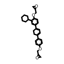 C1=C(c2ccc(OCC3CO3)cc2)CCC(c2ccc(OCC3CO3)c(C3CCCCC3)c2)=C1